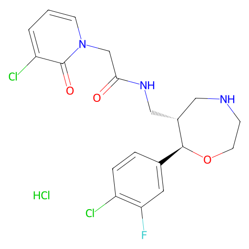 Cl.O=C(Cn1cccc(Cl)c1=O)NC[C@@H]1CNCCO[C@H]1c1ccc(Cl)c(F)c1